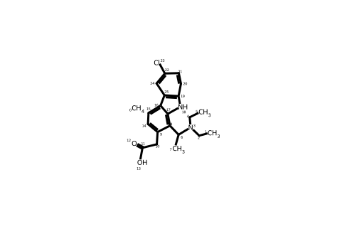 C.CCN(CC)C(C)c1c(CC(=O)O)ccc2c1[nH]c1ccc(Cl)cc12